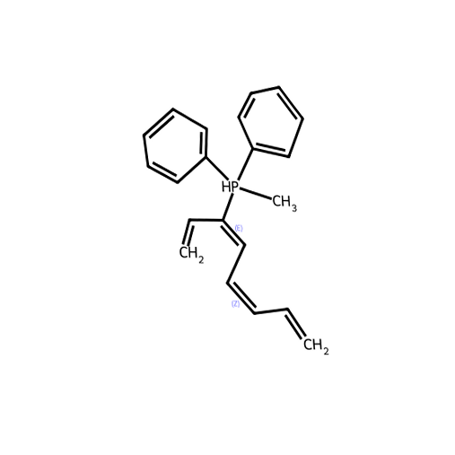 C=C/C=C\C=C(/C=C)[PH](C)(c1ccccc1)c1ccccc1